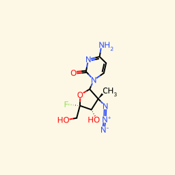 C[C@]1(N=[N+]=[N-])C(n2ccc(N)nc2=O)O[C@](F)(CO)[C@H]1O